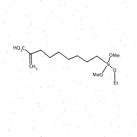 C=C(CCCCCCC[Si](OC)(OC)OCC)C(=O)O